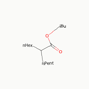 CCCCCCC(CCCCC)C(=O)OC(C)CC